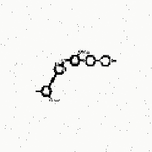 COc1cc(C)cc(C#Cc2cnc(Nc3ccc(N4CCC(N5CCN(C)CC5)CC4)c(OC)c3)nc2)c1